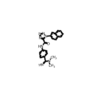 CN(C)C(=N)c1ccc(NC(=O)c2nnnn2-c2ccc3ccccc3c2)cc1